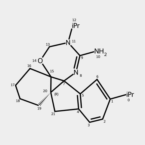 CC(C)c1ccc2c(c1)C13N=C(N)N(C(C)C)COC14CCCC[C@]43C2